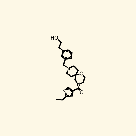 CCc1cc(C(=O)N2CCOC3(CCN(Cc4cccc(CCO)c4)CC3)C2)cs1